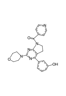 O=C(c1ccncc1)N1CCc2c(-c3cccc(O)c3)nc(N3CCOCC3)nc21